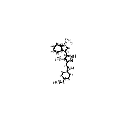 CC(C)c1c(CNC2CCN(CC(C)(C)C)CC2)n[nH]c1-c1cn(C)c2ncccc12